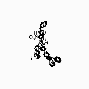 CC(C)c1ccccc1[C@@H]1CCCN1C1CC2(CCN(c3ccc(C(=O)NS(=O)(=O)c4cc5c(c([N+](=O)[O-])c4)N[C@@H](CN4CCN(C)CC4)CO5)c(N4CCCOc5nc6[nH]ccc6cc54)c3)CC2)C1